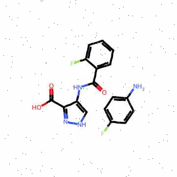 Nc1ccc(F)cc1.O=C(Nc1c[nH]nc1C(=O)O)c1ccccc1F